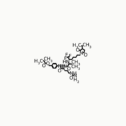 CC(C)C(=O)OCc1ccc(NC(=O)[C@H](CCCNC(N)=O)NC(=O)[C@@H](NC(CCCCCN2C(=O)CC(C(C)C)C2=O)C(F)(F)F)C(C)C)cc1